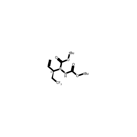 C=C[C@H](CC(F)(F)F)N(NC(=O)OC(C)(C)C)C(=O)OC(C)(C)C